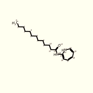 CCCCCCCCCCCCC(=O)NC1=CC=CC=CN1